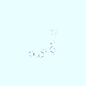 CCN(CCNC(=O)c1cnc(C)c(Nc2nn(C)c3nc(Nc4cncnc4)ncc23)c1)CC(C)C